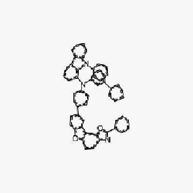 c1ccc(-c2cccc(N(c3ccc(-c4ccc5oc6ccc7nc(-c8ccccc8)oc7c6c5c4)cc3)c3cccc4c5ccccc5n(-c5ccccc5)c34)c2)cc1